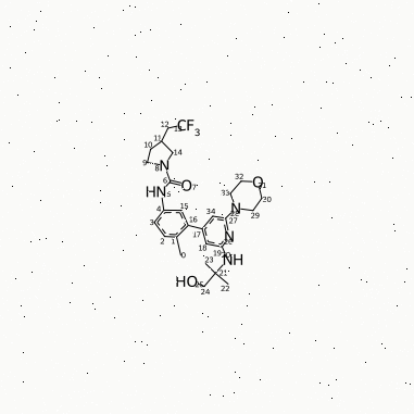 Cc1ccc(NC(=O)N2CCC(CC(F)(F)F)C2)cc1-c1cc(NC(C)(C)CO)nc(N2CCOCC2)c1